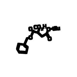 CC(C)(C)OC(=O)CC(C(=O)O)C(=O)OCc1ccccc1